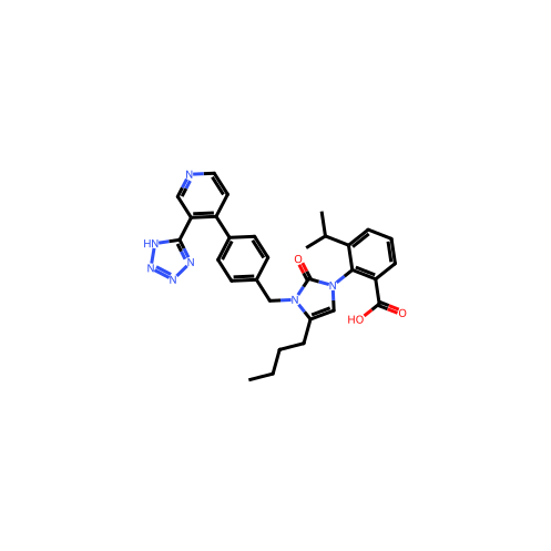 CCCCc1cn(-c2c(C(=O)O)cccc2C(C)C)c(=O)n1Cc1ccc(-c2ccncc2-c2nnn[nH]2)cc1